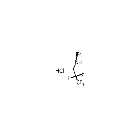 CC(C)NCC(F)(F)C(F)(F)F.Cl